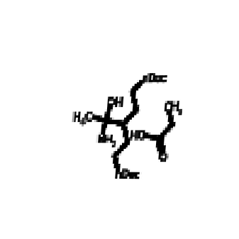 CCC(=O)O.CCCCCCCCCCCCC(CCCCCCCCCCCC)C(C)(N)O